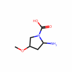 COC1CC(N)N(C(=O)O)C1